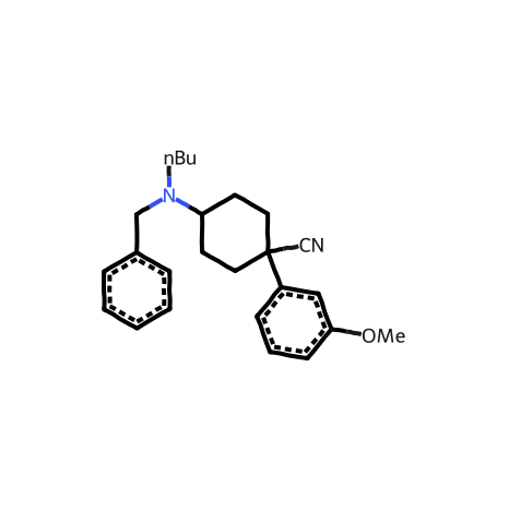 CCCCN(Cc1ccccc1)C1CCC(C#N)(c2cccc(OC)c2)CC1